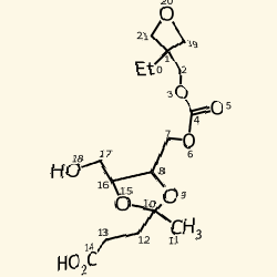 CCC1(COC(=O)OCC2OC(C)(CCC(=O)O)OC2CO)COC1